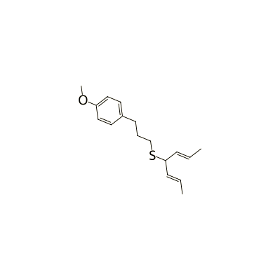 C/C=C/C(/C=C/C)SCCCc1ccc(OC)cc1